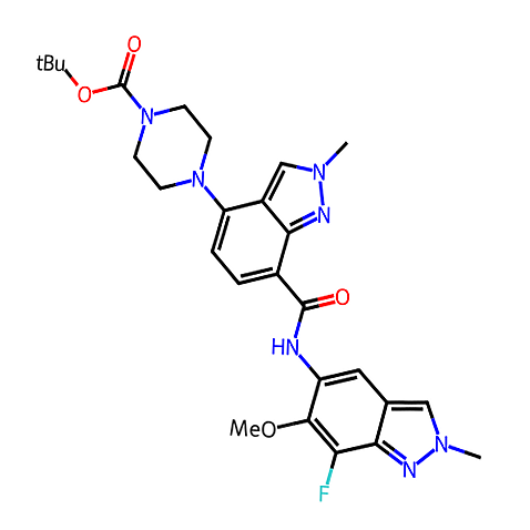 COc1c(NC(=O)c2ccc(N3CCN(C(=O)OC(C)(C)C)CC3)c3cn(C)nc23)cc2cn(C)nc2c1F